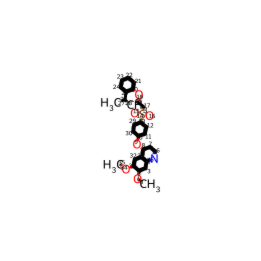 COc1cc2nccc(Oc3ccc(S(=O)(=O)CCOc4ccccc4C(C)C)cc3)c2cc1OC